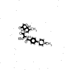 C[C@H]1CN(C(=O)C(NC(=O)c2ccc(N3CCN(C)CC3)cc2)C(C)(C)C)[C@@H]2C(=O)CO[C@@H]21